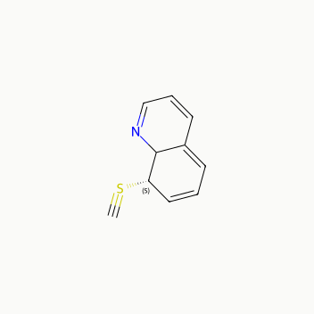 C#S[C@H]1C=CC=C2C=CC=NC21